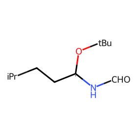 CC(C)CC[C](NC=O)OC(C)(C)C